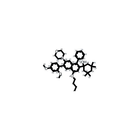 CCCCOc1cc(C2(O)CC(C)(C)CC(C)(C)C2)c(-c2ccccc2)c2cc(N3CCOCC3)c(-c3ccc(OC)cc3OC)cc12